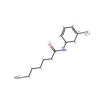 CCCCCCCCCCCCCCCC(=O)NC1C=CC=C(C(F)(F)F)C1